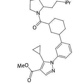 COC(=O)c1cnn(-c2cccc(C3CCCC(C(=O)N4CCCC4CCC(C)C)C3)c2)c1C1CC1